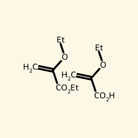 C=C(OCC)C(=O)O.C=C(OCC)C(=O)OCC